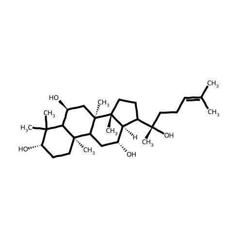 CC(C)=CCC[C@](C)(O)C1CC[C@]2(C)[C@@H]1[C@H](O)CC1[C@@]3(C)CC[C@H](O)C(C)(C)C3[C@@H](O)C[C@]12C